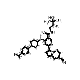 CC(C)(O)[C@H](F)CNC(=O)c1cnc(-c2ccc3cc(C#N)cnn23)cc1NC1CCC(c2cnc(C(F)F)nc2)CC1